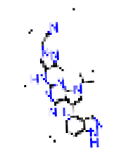 Cc1nn(CC#N)cc1Nc1nc(N)c2c(-c3cccc4[nH]ncc34)cn(C(C)C)c2n1